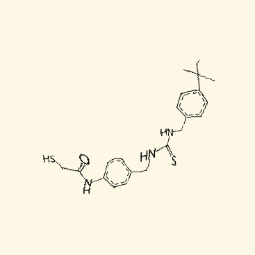 CC(C)(C)c1ccc(CNC(=S)NCc2ccc(NC(=O)CS)cc2)cc1